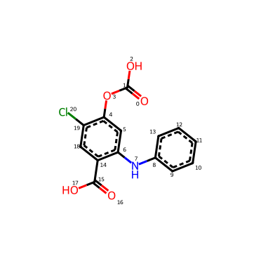 O=C(O)Oc1cc(Nc2ccccc2)c(C(=O)O)cc1Cl